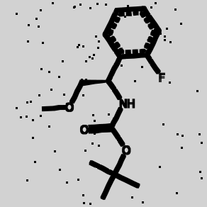 COC[C@H](NC(=O)OC(C)(C)C)c1ccccc1F